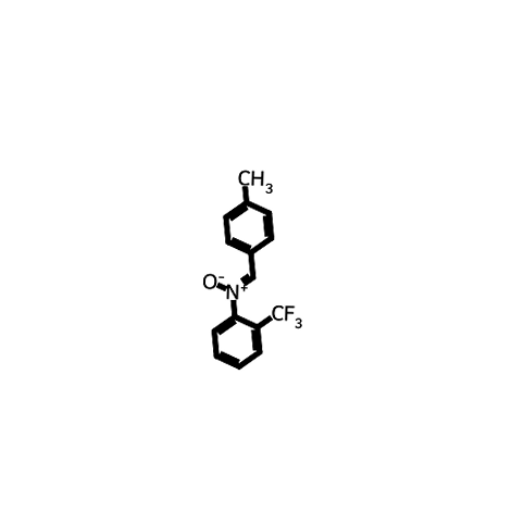 Cc1ccc(C=[N+]([O-])c2ccccc2C(F)(F)F)cc1